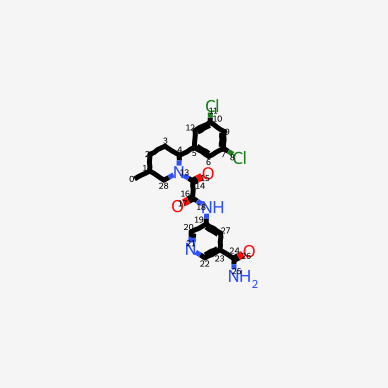 CC1CCC(c2cc(Cl)cc(Cl)c2)N(C(=O)C(=O)Nc2cncc(C(N)=O)c2)C1